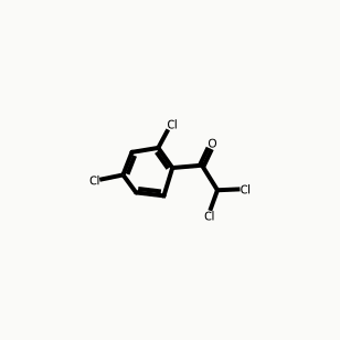 O=C(c1ccc(Cl)cc1Cl)C(Cl)Cl